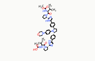 COC(=O)N[C@H](C(=O)N1CCC[C@H]1c1ncc(-c2ccc([C@H]3CC[C@H](c4ccc(-c5cnc([C@@H]6CCCN6C(=O)[C@@H](NC(=O)O)C(C)C)[nH]5)cc4)N3c3ccc(N4CCOCC4)cc3)cc2)[nH]1)C(C)C